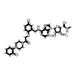 CNC(=O)[C@H]1O[C@@H](n2cnc3c(NCc4cc(Cl)ccc4OCC(=O)N4CCN(c5ccccc5Cl)CC4)ncnc32)[C@H](O)[C@@H]1N